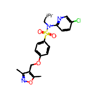 Cc1noc(C)c1COc1ccc(S(=O)(=O)N(CC(C)C)c2ccc(Cl)cn2)cc1